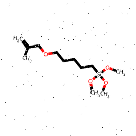 C=C(C)COCCCCC[Si](OC)(OC)OC